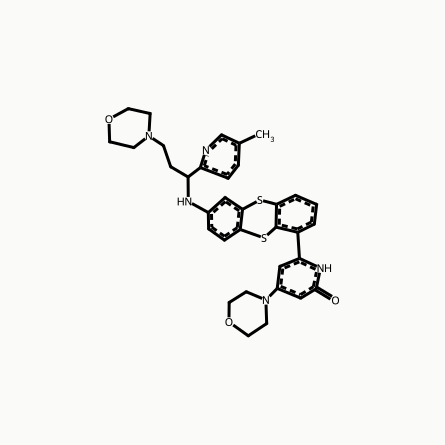 Cc1ccc(C(CCN2CCOCC2)Nc2ccc3c(c2)Sc2cccc(-c4cc(N5CCOCC5)cc(=O)[nH]4)c2S3)nc1